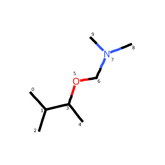 CC(C)C(C)OCN(C)C